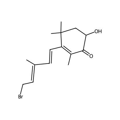 CC1=C(/C=C/C(C)=C/CBr)C(C)(C)CC(O)C1=O